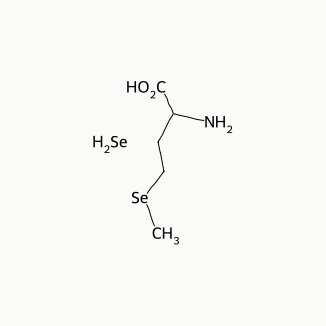 C[Se]CCC(N)C(=O)O.[SeH2]